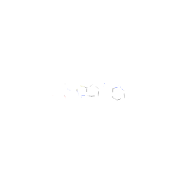 CC(C)(C)N(C(=O)O)c1nc2ccc(Nc3ccc(F)cn3)cc2s1